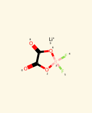 O=C1O[B-](F)(F)OC1=O.[Li+]